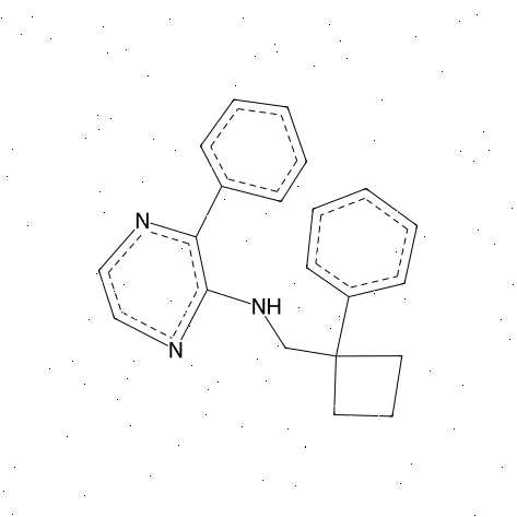 c1ccc(-c2nccnc2NCC2(c3ccccc3)CCC2)cc1